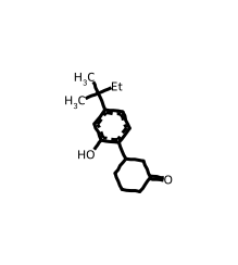 CCC(C)(C)c1ccc(C2CCCC(=O)C2)c(O)c1